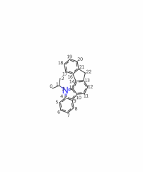 CC(C)n1c2ccccc2c2ccc3c(c21)-c1ccccc1C3